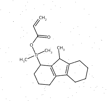 C=CC(=O)[O][Ti]([CH3])([CH3])[CH]1CCCC2=C1C(C)C1=C2CCCC1